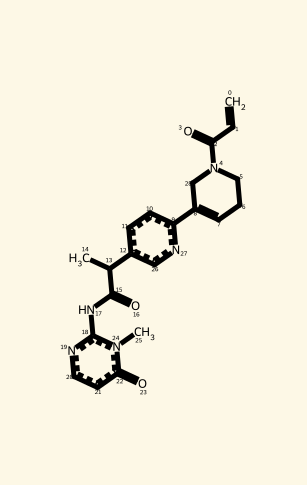 C=CC(=O)N1CCC=C(c2ccc(C(C)C(=O)Nc3nccc(=O)n3C)cn2)C1